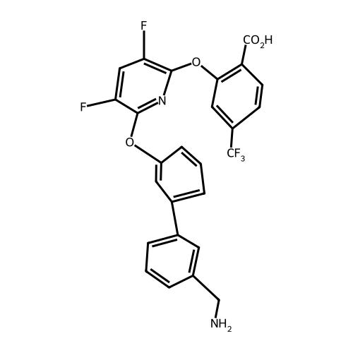 NCc1cccc(-c2cccc(Oc3nc(Oc4cc(C(F)(F)F)ccc4C(=O)O)c(F)cc3F)c2)c1